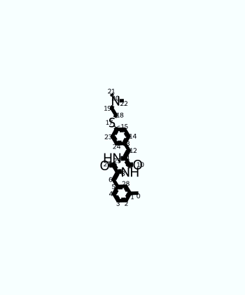 Cc1cccc(C=c2[nH]c(=O)c(=Cc3ccc(SCCN(C)C)cc3)[nH]c2=O)c1